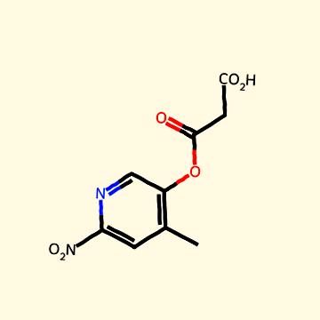 Cc1cc([N+](=O)[O-])ncc1OC(=O)CC(=O)O